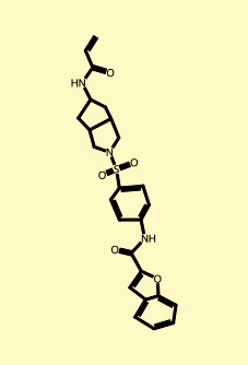 C=CC(=O)NC1CC2CN(S(=O)(=O)c3ccc(NC(=O)c4cc5ccccc5o4)cc3)CC2C1